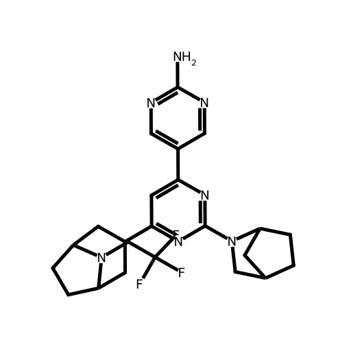 Nc1ncc(-c2cc(C3CC4CCC(C3)N4CC(F)(F)F)nc(N3CC4CCC3C4)n2)cn1